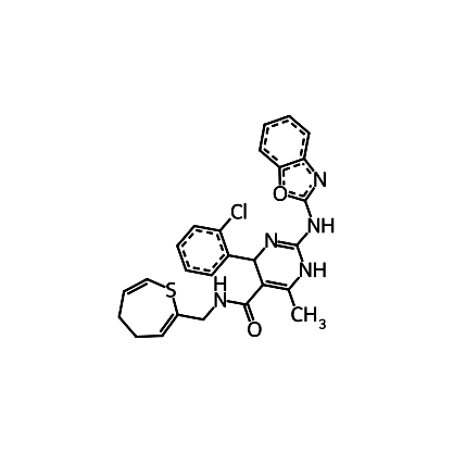 CC1=C(C(=O)NCC2=CCCC=CS2)C(c2ccccc2Cl)N=C(Nc2nc3ccccc3o2)N1